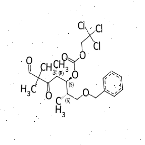 C[C@@H](COCc1ccccc1)[C@H](OC(=O)OCC(Cl)(Cl)Cl)[C@@H](C)C(=O)C(C)(C)C=O